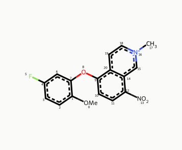 COc1ccc(F)cc1Oc1ccc([N+](=O)[O-])c2c[n+](C)ccc12